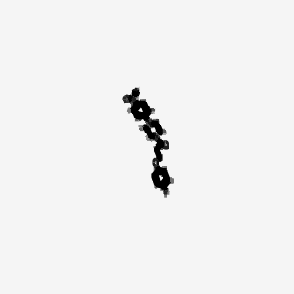 O=C(CCOc1ccc(F)cc1)N1CCN(c2ccc([SH](=O)=O)cc2)CC1